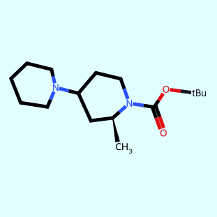 C[C@H]1CC(N2CCCCC2)CCN1C(=O)OC(C)(C)C